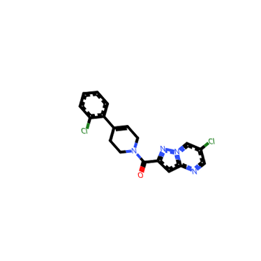 O=C(c1cc2ncc(Cl)cn2n1)N1CC=C(c2ccccc2Cl)CC1